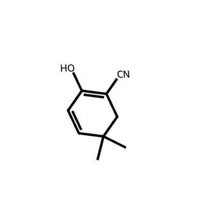 CC1(C)C=CC(O)=C(C#N)C1